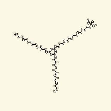 COP(=O)(CCSCCOCCOCCSCCCOc1nc(OCCCSCCOCCOCCS)nc(OCCCSCCOCCOCCS)n1)OC